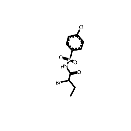 CCC(Br)C(=O)NS(=O)(=O)c1ccc(Cl)cc1